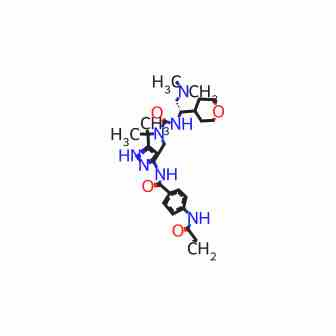 C=CC(=O)Nc1ccc(C(=O)Nc2n[nH]c3c2CN(C(=O)N[C@H](CN(C)C)C2CCOCC2)C3(C)C)cc1